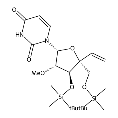 C=C[C@]1(CO[Si](C)(C)C(C)(C)C)O[C@@H](n2ccc(=O)[nH]c2=O)[C@@H](OC)[C@@H]1O[Si](C)(C)C(C)(C)C